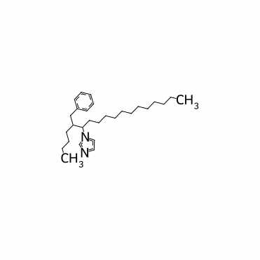 CCCCCCCCCCCCC(C(CCCC)Cc1ccccc1)n1ccnc1